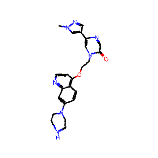 Cn1cc(-c2cn(CCOc3ccnc4cc(N5CCNCC5)ccc34)c(=O)cn2)cn1